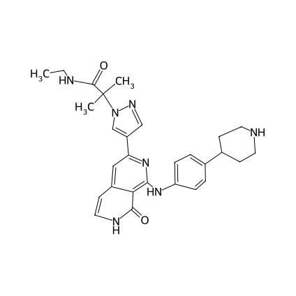 CCNC(=O)C(C)(C)n1cc(-c2cc3cc[nH]c(=O)c3c(Nc3ccc(C4CCNCC4)cc3)n2)cn1